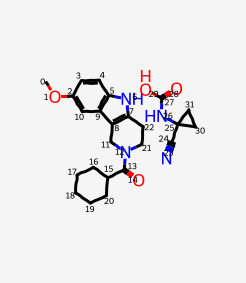 COc1ccc2[nH]c3c(c2c1)CN(C(=O)C1CCCCC1)CC3.N#CC1(NC(=O)O)CC1